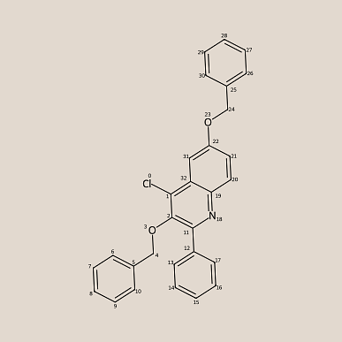 Clc1c(OCc2ccccc2)c(-c2ccccc2)nc2ccc(OCc3ccccc3)cc12